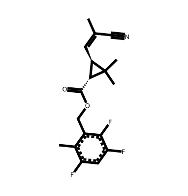 CC(C#N)=C[C@@H]1[C@@H](C(=O)OCc2c(C)c(F)cc(F)c2F)C1(C)C